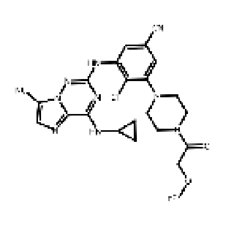 CCCOCC(=O)N1CCN(c2cc(C#N)cc(Nc3nc(NC4CC4)c4ncc(C#N)n4n3)c2Cl)CC1